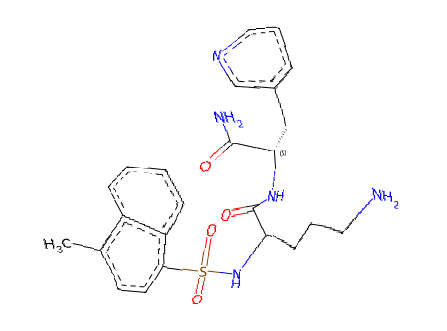 Cc1ccc(S(=O)(=O)NC(CCCN)C(=O)N[C@@H](Cc2cccnc2)C(N)=O)c2ccccc12